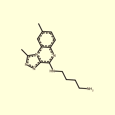 Cc1ccc2nc(NCCCCN)c3nnc(C)n3c2c1